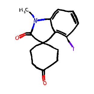 CN1C(=O)C2(CCC(=O)CC2)c2c(I)cccc21